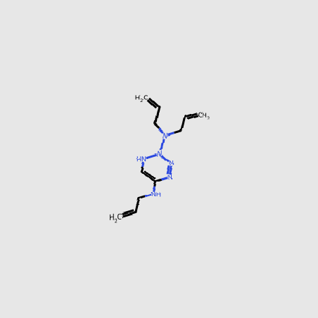 C=CCNC1=CNN(N(CC=C)CC=C)N=N1